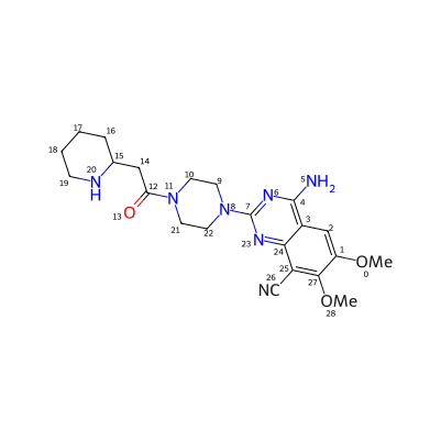 COc1cc2c(N)nc(N3CCN(C(=O)CC4CCCCN4)CC3)nc2c(C#N)c1OC